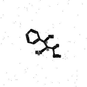 COC(=O)[C@@H](N)[C@H](O)c1ccccc1